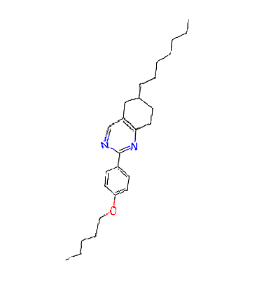 CCCCCCCC1CCc2nc(-c3ccc(OCCCCC)cc3)ncc2C1